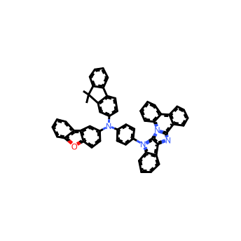 CC1(C)c2ccccc2-c2ccc(N(c3ccc(-n4c5ccccc5c5nc6c7ccccc7c7ccccc7n6c54)cc3)c3ccc4oc5ccccc5c4c3)cc21